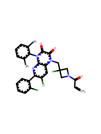 C=CC(=O)N1CC(F)(Cn2c(=O)c(=O)n(-c3c(C(C)C)cccc3C(C)C)c3nc(-c4ccccc4F)c(Cl)cc32)C1